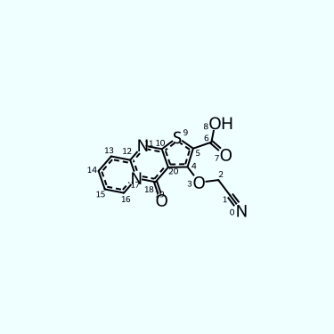 N#CCOc1c(C(=O)O)sc2nc3ccccn3c(=O)c12